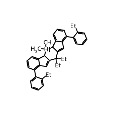 CCc1ccccc1-c1cccc2c1C=C1[CH]2[Hf]([CH3])([CH3])[CH]2C(=Cc3c(-c4ccccc4CC)cccc32)C1(CC)CC